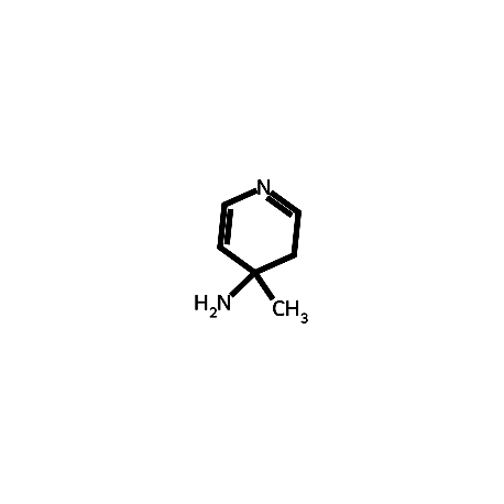 CC1(N)C=CN=CC1